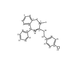 CN1Cc2ccccc2C(c2ccccc2)N=C1CCc1ccc(Cl)cc1